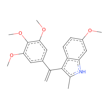 C=C(c1cc(OC)c(OC)c(OC)c1)c1c(C)[nH]c2cc(OC)ccc12